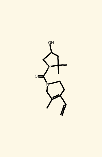 C=CC1=C(C)CN(C(=O)N2CC(O)CC2(C)C)CC1